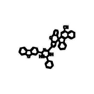 N#Cc1cc2c(c3ccccc13)-c1ccccc1C21c2ccccc2Oc2cc(C3=NC(c4ccc5c(c4)oc4ccccc45)NC(c4ccccc4)N3)ccc21